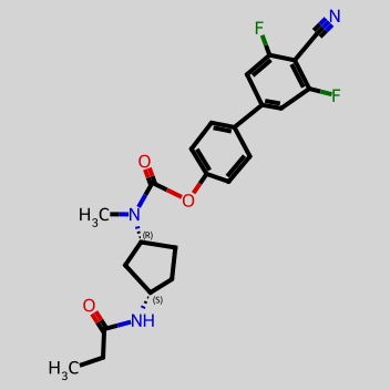 CCC(=O)N[C@H]1CC[C@@H](N(C)C(=O)Oc2ccc(-c3cc(F)c(C#N)c(F)c3)cc2)C1